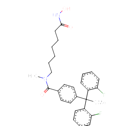 COC(c1ccc(C(=O)N(C)CCCCCCC(=O)NO)cc1)(c1ccccc1F)c1ccccc1F